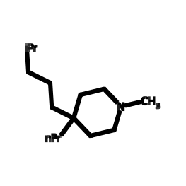 CCCC1(CCCC(C)C)CCN(C)CC1